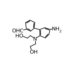 Nc1ccc(N(CCO)CCO)c(-c2cccc(C=O)c2)c1